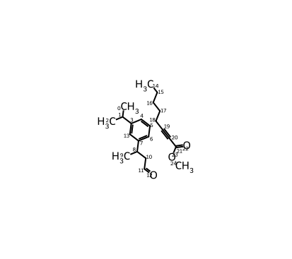 CC(C)c1cccc(C(C)CC=O)c1.CCCCCC#CC(=O)OC